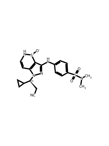 CN(C)S(=O)(=O)c1ccc(Nc2nn([C@@H](CC#N)C3CC3)c3c2[S+]([O-])NC=C3)cc1